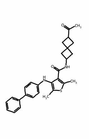 CC(=O)C1CC2(CC(NC(=O)c3c(C)sc(C)c3Nc3ccc(-c4ccccc4)cc3)C2)C1